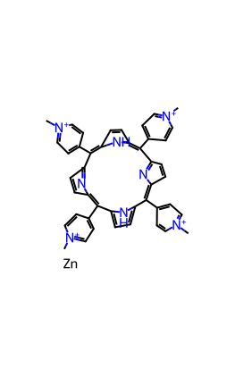 C[n+]1ccc(-c2c3nc(c(-c4cc[n+](C)cc4)c4ccc([nH]4)c(-c4cc[n+](C)cc4)c4nc(c(-c5cc[n+](C)cc5)c5ccc2[nH]5)C=C4)C=C3)cc1.[Zn]